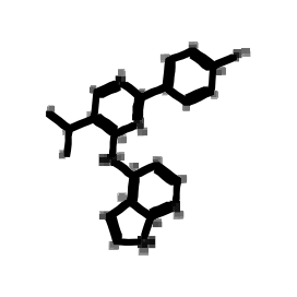 CC(C)c1cnc(-c2ccc(F)cc2)nc1Nc1ccnc2[nH]ccc12